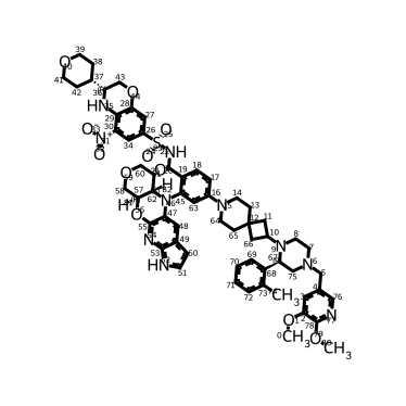 COc1cc(CN2CCN(C3CC4(CCN(c5ccc(C(=O)NS(=O)(=O)c6cc7c(c([N+](=O)[O-])c6)N[C@H](C6CCOCC6)CO7)c(N6c7cc8cc[nH]c8nc7O[C@H]7COCC[C@@H]76)c5)CC4)C3)[C@H](c3ccccc3C)C2)cnc1OC